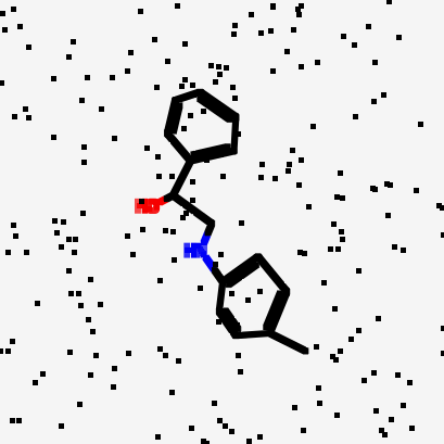 Cc1ccc(NCC(O)c2ccccc2)cc1